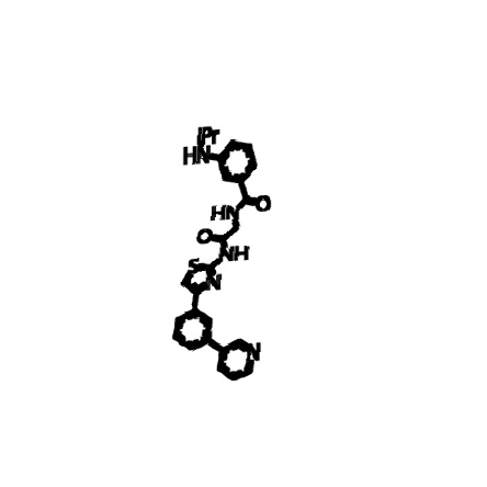 CC(C)Nc1cccc(C(=O)NCC(=O)Nc2nc(-c3cccc(-c4cccnc4)c3)cs2)c1